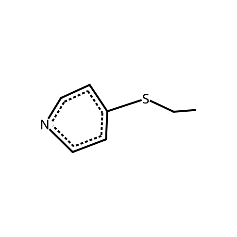 CCSc1ccncc1